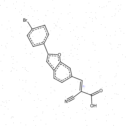 N#C/C(=C\c1ccc2cc(-c3ccc(Br)cc3)oc2c1)C(=O)O